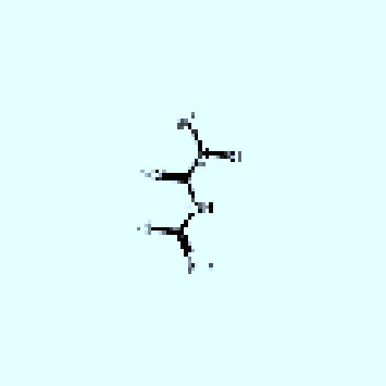 C=C(Cl)NC(=O)N(Cl)C(C)C